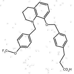 O=C(O)CCc1ccc(COc2cccc3c2N(Cc2ccc(OC(F)(F)F)cc2)CCC3)cc1